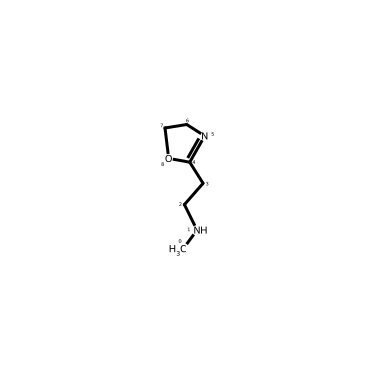 CNCCC1=NCCO1